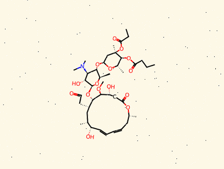 CCCC(=O)O[C@H]1[C@H](C)O[C@@H](O[C@H]2[C@H](N(C)C)[C@@H](O)[C@H](O[C@H]3[C@@H](CC=O)C[C@@H](C)[C@@H](O)/C=C/C=C/C[C@@H](C)OC(=O)C[C@@H](O)[C@@H]3OC)O[C@@H]2C)C[C@@]1(C)OC(=O)CC